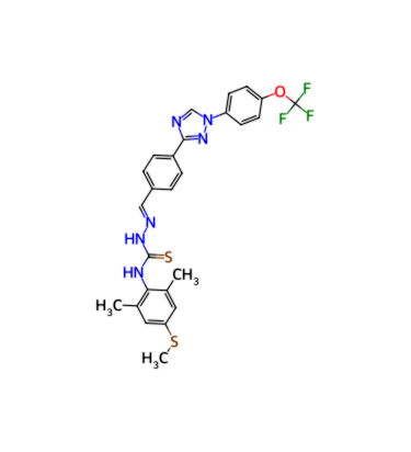 CSc1cc(C)c(NC(=S)N/N=C/c2ccc(-c3ncn(-c4ccc(OC(F)(F)F)cc4)n3)cc2)c(C)c1